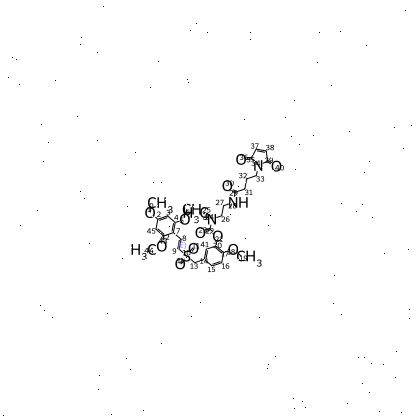 COc1cc(OC)c(/C=C/S(=O)(=O)Cc2ccc(OC)c(OC(=O)N(C)CCNC(=O)CCCN3C(=O)C=CC3=O)c2)c(OC)c1